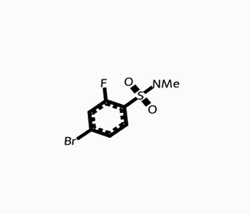 CNS(=O)(=O)c1ccc(Br)cc1F